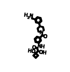 NCc1cccc(C2CCN(C(=O)c3cccc(NC(=O)C(O)C4(O)CCC4)c3)CC2)c1